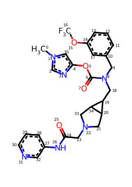 Cn1cnc(OC(=O)N(Cc2cccc(OC(F)(F)F)c2)CC2C3CN(CC(=O)Nc4cccnc4)CC32)c1